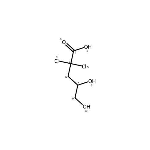 O=C(O)C(Cl)(Cl)CC(O)CO